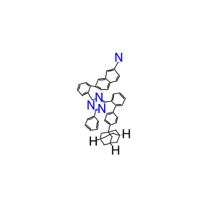 N#Cc1ccc2ccc(-c3ccccc3-c3nc(-c4ccccc4)nc(-c4ccccc4-c4ccc(C56C[C@H]7C[C@H](C5)C[C@@H](C6)C7)cc4)n3)cc2c1